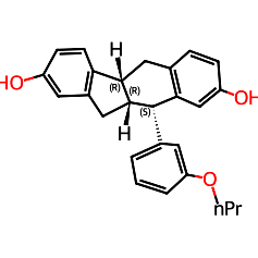 CCCOc1cccc([C@H]2c3cc(O)ccc3C[C@H]3c4ccc(O)cc4C[C@@H]23)c1